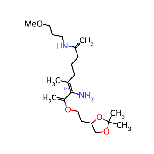 C=C(CCC/C(C)=C(\N)C(=C)OCCC1COC(C)(C)O1)NCCCOC